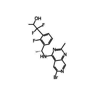 Cc1nc(N[C@H](C)c2cccc(C(F)(F)C(C)O)c2F)c2cc(Br)ncc2n1